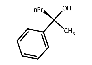 CCC[C@](C)(O)c1ccccc1